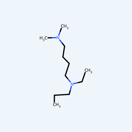 CCCN(CC)CCCCN(C)C